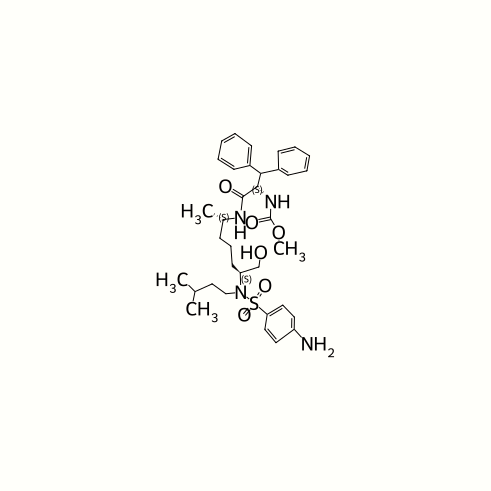 COC(=O)N[C@H](C(=O)N[C@@H](C)CCC[C@@H](CO)N(CCC(C)C)S(=O)(=O)c1ccc(N)cc1)C(c1ccccc1)c1ccccc1